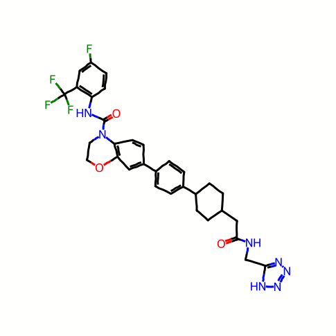 O=C(CC1CCC(c2ccc(-c3ccc4c(c3)OCCN4C(=O)Nc3ccc(F)cc3C(F)(F)F)cc2)CC1)NCc1nnn[nH]1